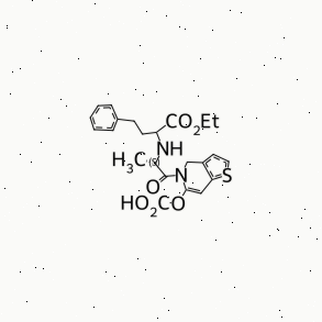 CCOC(=O)C(CCc1ccccc1)N[C@@H](C)C(=O)N1Cc2ccsc2C=C1OC(=O)O